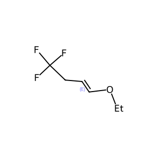 CCO/C=C/CC(F)(F)F